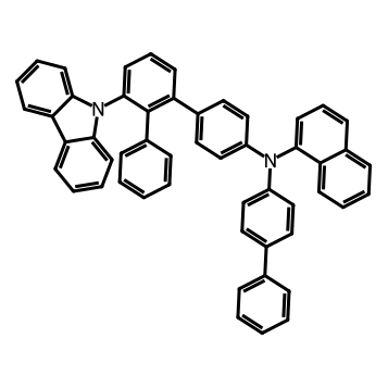 c1ccc(-c2ccc(N(c3ccc(-c4cccc(-n5c6ccccc6c6ccccc65)c4-c4ccccc4)cc3)c3cccc4ccccc34)cc2)cc1